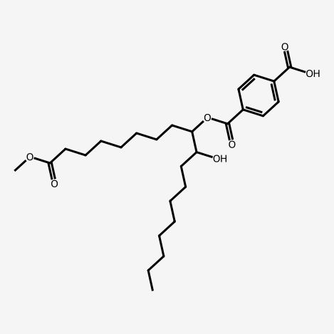 CCCCCCCCC(O)C(CCCCCCCC(=O)OC)OC(=O)c1ccc(C(=O)O)cc1